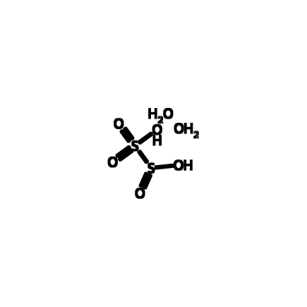 O.O.O=S(O)S(=O)(=O)O